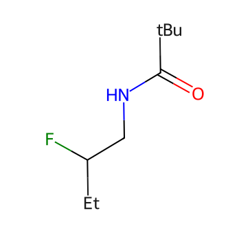 CCC(F)CNC(=O)C(C)(C)C